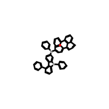 c1ccc(-c2cccc3cccc(-c4ccc(N(c5ccccc5)c5ccc6c7c(-c8ccccc8)cccc7n(-c7ccccc7)c6c5)cc4)c23)cc1